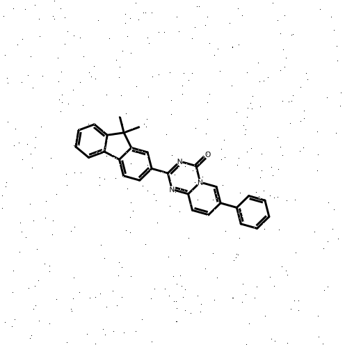 CC1(C)c2ccccc2-c2ccc(-c3nc(=O)n4cc(-c5ccccc5)ccc4n3)cc21